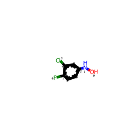 ONc1ccc(F)c(Cl)c1